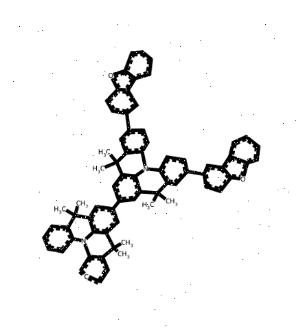 CC1(C)c2ccccc2N2c3ccccc3C(C)(C)c3cc(-c4cc5c6c(c4)C(C)(C)c4cc(-c7ccc8oc9ccccc9c8c7)ccc4N6c4ccc(-c6ccc7oc8ccccc8c7c6)cc4C5(C)C)cc1c32